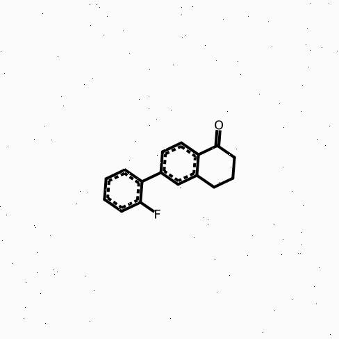 O=C1CCCc2cc(-c3ccccc3F)ccc21